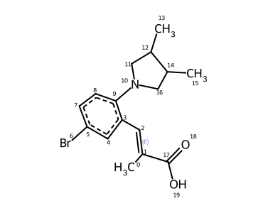 C/C(=C\c1cc(Br)ccc1N1CC(C)C(C)C1)C(=O)O